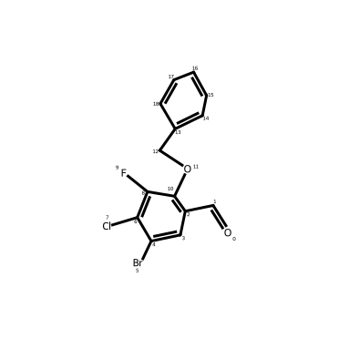 O=Cc1cc(Br)c(Cl)c(F)c1OCc1ccccc1